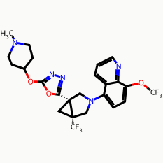 CN1CCC(Oc2nnc([C@]34CN(c5ccc(OC(F)(F)F)c6ncccc56)C[C@@]3(C(F)(F)F)C4)o2)CC1